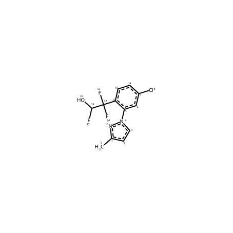 Cc1ccn(-c2cc(Cl)ccc2C(F)(F)C(O)F)n1